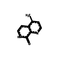 Cc1ccnc2c(=O)[nH]ccc12